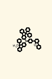 CC1(c2ccccc2)c2ccccc2-c2ccc(N(c3ccc(-c4cccc5c4oc4ccccc45)cc3)c3ccc4c(c3)C(c3ccccc3)(c3ccccc3)c3ccccc3-4)cc21